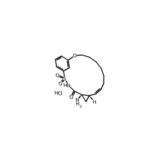 Cl.N[C@]12C[C@H]1C=CCCCCCCOc1cccc(c1)S(=O)(=O)NC2=O